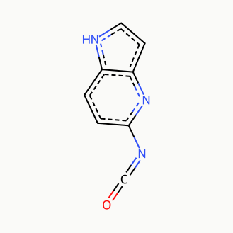 O=C=Nc1ccc2[nH]ccc2n1